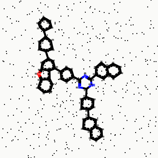 c1ccc(-c2ccc(-c3cc(-c4ccc(C5=NC(c6ccc(-c7ccc8ccccc8c7)cc6)NC(c6ccc7ccccc7c6)=N5)cc4)c4c(c3)oc3ccccc34)cc2)cc1